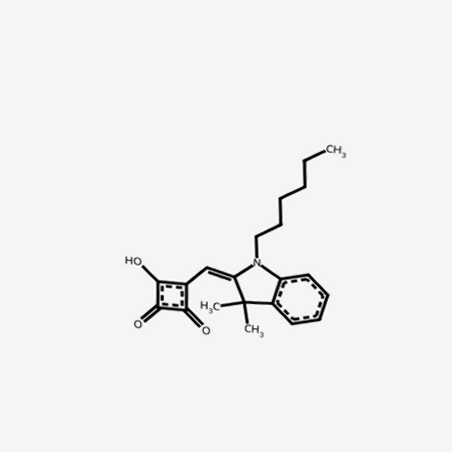 CCCCCCN1/C(=C/c2c(O)c(=O)c2=O)C(C)(C)c2ccccc21